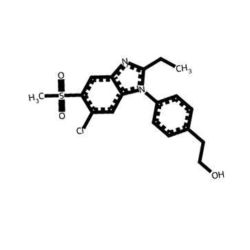 CCc1nc2cc(S(C)(=O)=O)c(Cl)cc2n1-c1ccc(CCO)cc1